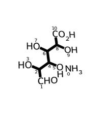 N.O=CC(O)C(O)C(O)C(O)C(=O)O